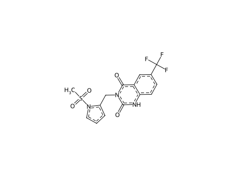 CS(=O)(=O)n1cccc1Cn1c(=O)[nH]c2ccc(C(F)(F)F)cc2c1=O